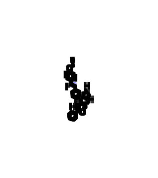 C#CCOc1cnc(/C(F)=C/c2ccc(F)c([C@]34CNC[C@H]3CSC(NC(=O)c3ccccc3)=N4)c2)cn1